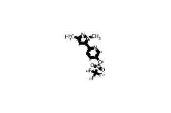 Cc1cc(-c2ccc(OS(=O)(=O)C(F)(F)F)cn2)n(C)n1